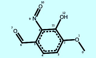 COc1ccc(C=O)c(N=O)c1O